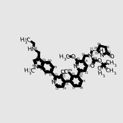 CCNCc1cn(C)c2cc(-c3nccc(-c4cccc(-c5ccc(CN(C[C@@H]6CCC(=O)N6)C(=O)OC(C)(C)C)c(OC)n5)c4Cl)c3Cl)ccc12